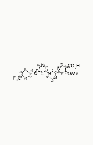 COc1cc(C2CN(c3cncc(OC[C@H]4CC[C@H](C(F)(F)F)CC4)c3)CCO2)ncc1C(=O)O